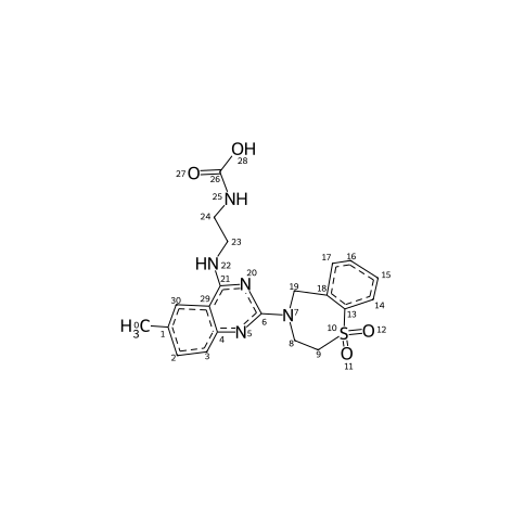 Cc1ccc2nc(N3CCS(=O)(=O)c4ccccc4C3)nc(NCCNC(=O)O)c2c1